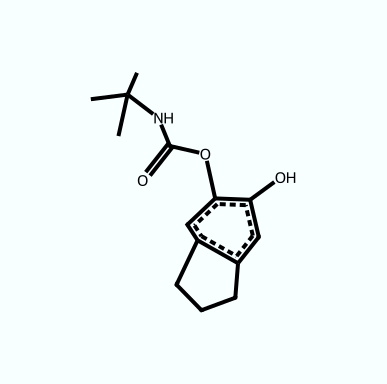 CC(C)(C)NC(=O)Oc1cc2c(cc1O)CCC2